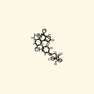 Cc1cc(O)c(-c2ccc([C@@H](C)CN(C)S(C)(=O)=O)cc2)c2c1[nH]c(=O)c1sccc12